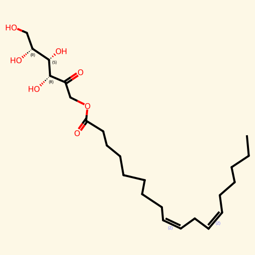 CCCCC/C=C\C/C=C\CCCCCCCC(=O)OCC(=O)[C@H](O)[C@@H](O)[C@H](O)CO